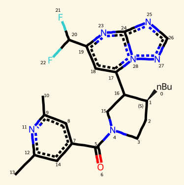 CCCC[C@H]1CCN(C(=O)c2cc(C)nc(C)c2)CC1c1cc(C(F)F)nc2ncnn12